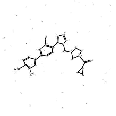 COc1ccc(-c2ccc(-c3nncn3C[C@H]3CCN(C(=O)C4CC4)C3)c(F)c2)cc1O